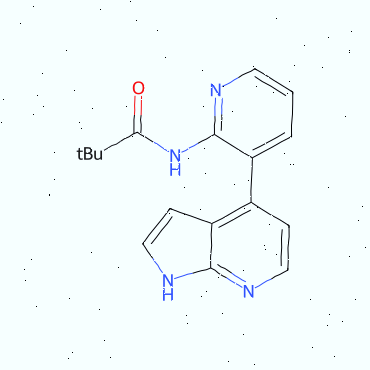 CC(C)(C)C(=O)Nc1ncccc1-c1ccnc2[nH]ccc12